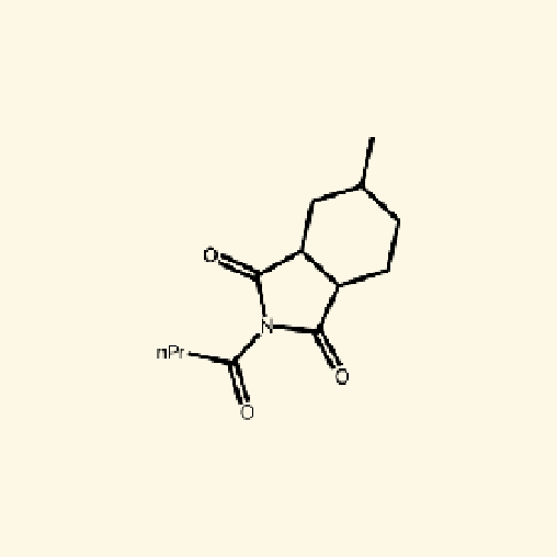 CCCC(=O)N1C(=O)C2CCC(C)CC2C1=O